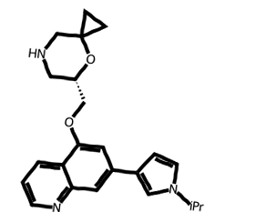 CC(C)n1ccc(-c2cc(OC[C@@H]3CNCC4(CC4)O3)c3cccnc3c2)c1